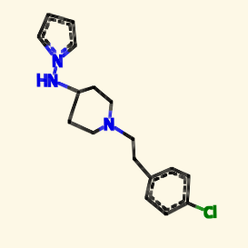 Clc1ccc(CCN2CCC(Nn3cccc3)CC2)cc1